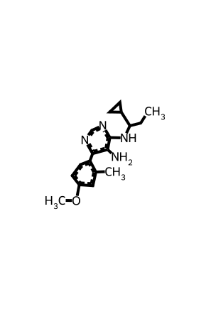 CCC(Nc1ncnc(-c2ccc(OC)cc2C)c1N)C1CC1